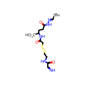 CC(C)(C)/C=N/NC(=O)CCC(NC(=O)CSSCCNC(=O)C=N)C(=O)O